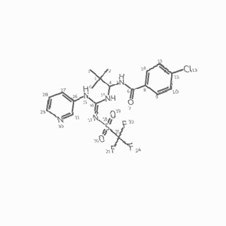 CC(C)(C)C(NC(=O)c1ccc(Cl)cc1)N/C(=N\S(=O)(=O)C(F)(F)F)Nc1cccnc1